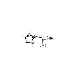 CCCCC(Sc1ncc[nH]1)C(C)C